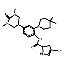 CN1CC(c2ccc(NC(=O)C3CC(C#N)=CN3)c(N3CCC(C)(C)CC3)c2)CN(C)C1=O